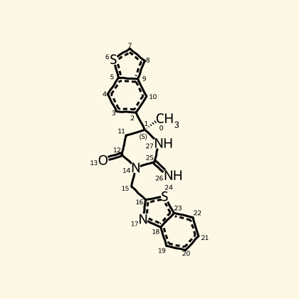 C[C@@]1(c2ccc3sccc3c2)CC(=O)N(Cc2nc3ccccc3s2)C(=N)N1